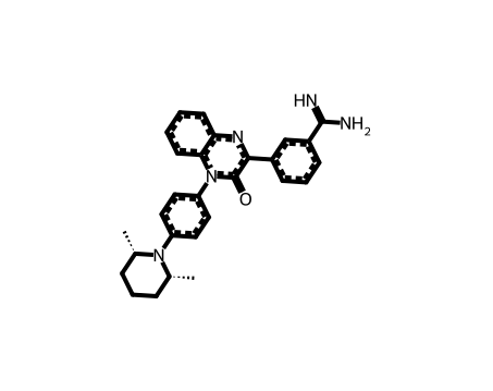 C[C@@H]1CCC[C@H](C)N1c1ccc(-n2c(=O)c(-c3cccc(C(=N)N)c3)nc3ccccc32)cc1